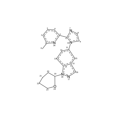 Cc1cccc(-c2nccn2-c2ccc3c(cnn3C3CCCCO3)c2)n1